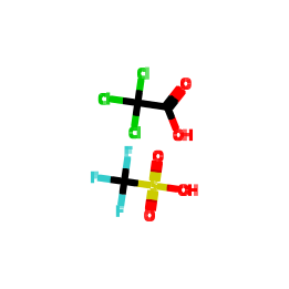 O=C(O)C(Cl)(Cl)Cl.O=S(=O)(O)C(F)(F)F